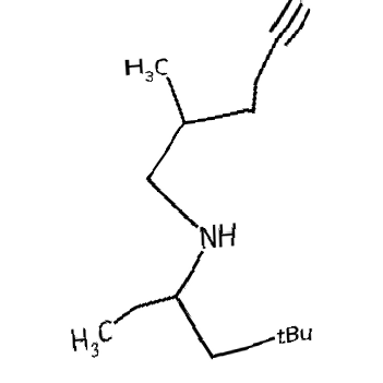 C#CCC(C)CNC(C)CC(C)(C)C